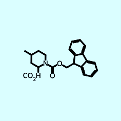 CC1CCN(C(=O)OCC2c3ccccc3-c3ccccc32)C(C(=O)O)C1